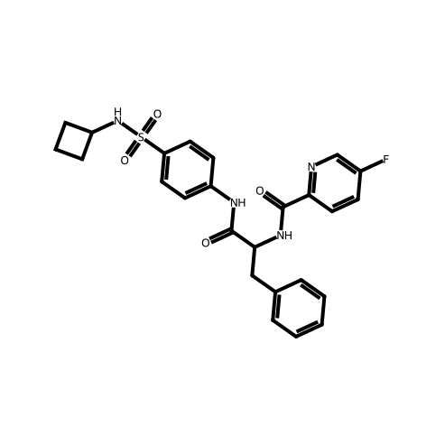 O=C(NC(Cc1ccccc1)C(=O)Nc1ccc(S(=O)(=O)NC2CCC2)cc1)c1ccc(F)cn1